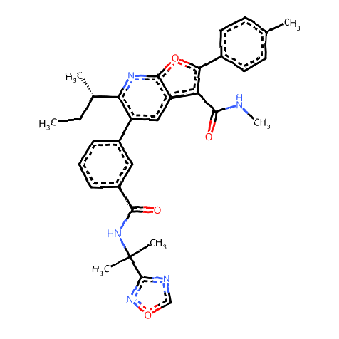 CC[C@H](C)c1nc2oc(-c3ccc(C)cc3)c(C(=O)NC)c2cc1-c1cccc(C(=O)NC(C)(C)c2ncon2)c1